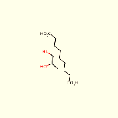 CC(O)CO.O=C(O)CCCCCCCC(=O)O